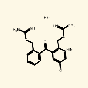 Br.Br.N=C(N)SCc1ccccc1C(=O)c1cc(Cl)ccc1CSC(=N)N